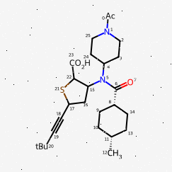 CC(=O)N1CCC(N(C(=O)[C@H]2CC[C@@H](C)CC2)C2CC(C#CC(C)(C)C)SC2C(=O)O)CC1